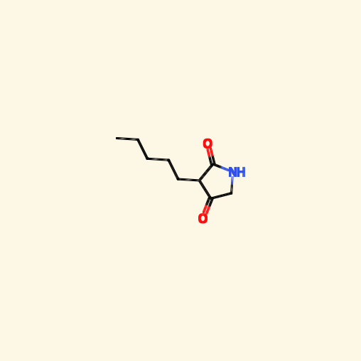 CCCCCC1C(=O)CNC1=O